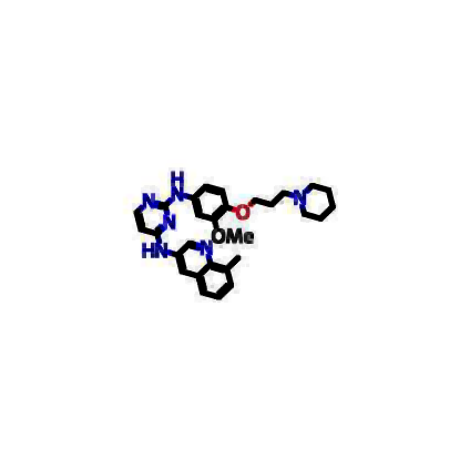 COc1cc(Nc2nccc(Nc3cnc4c(C)cccc4c3)n2)ccc1OCCCN1CCCCC1